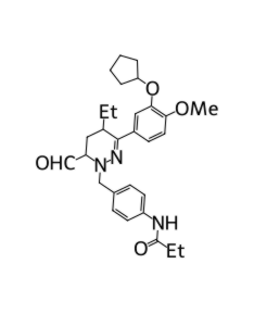 CCC(=O)Nc1ccc(CN2N=C(c3ccc(OC)c(OC4CCCC4)c3)C(CC)CC2C=O)cc1